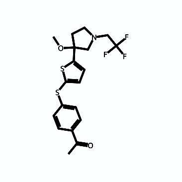 COC1(c2ccc(Sc3ccc(C(C)=O)cc3)s2)CCN(CC(F)(F)F)C1